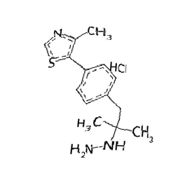 Cc1ncsc1-c1ccc(CC(C)(C)NN)cc1.Cl